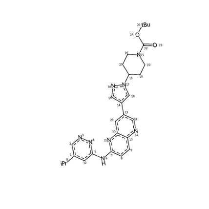 CC(C)c1cnnc(Nc2ccc3ncc(-c4cnn(C5CCN(C(=O)OC(C)(C)C)CC5)c4)cc3n2)c1